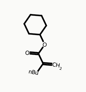 C=C(CCCC)C(=O)OC1CCCCC1